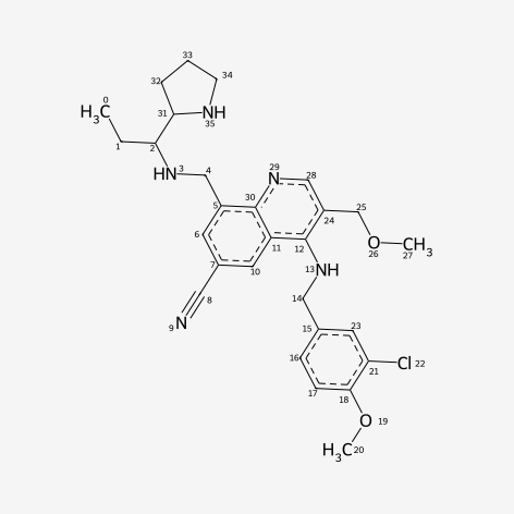 CCC(NCc1cc(C#N)cc2c(NCc3ccc(OC)c(Cl)c3)c(COC)cnc12)C1CCCN1